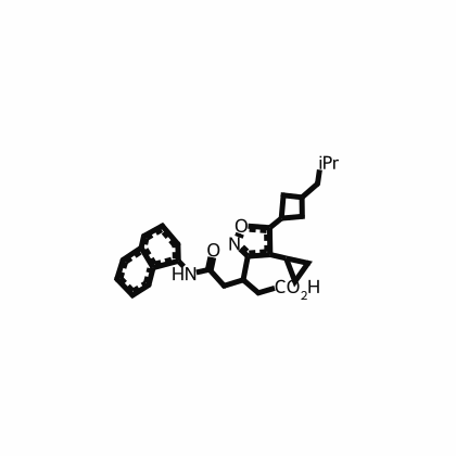 CC(C)CC1CC(c2onc(C(CC(=O)O)CC(=O)Nc3cccc4ccccc34)c2C2CC2)C1